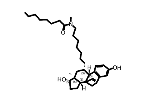 C=CC12CCc3cc(O)ccc3[C@H]1[C@@H](CCCCCCCN(C)C(=O)CCCCCCC)C[C@]1(C)[C@@H](O)CC[C@@H]21